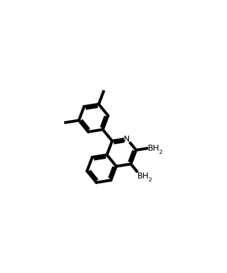 Bc1nc(-c2cc(C)cc(C)c2)c2ccccc2c1B